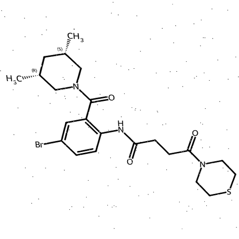 C[C@@H]1C[C@H](C)CN(C(=O)c2cc(Br)ccc2NC(=O)CCC(=O)N2CCSCC2)C1